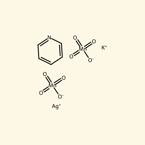 [Ag+].[K+].[O]=[Mn](=[O])(=[O])[O-].[O]=[Mn](=[O])(=[O])[O-].c1ccncc1